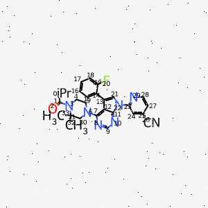 CC(C)C(=O)N1CCN(c2ncnc3c2c(-c2ccccc2F)cn3-c2cc(C#N)ccn2)CC1(C)C